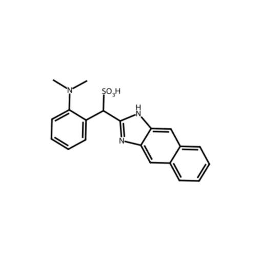 CN(C)c1ccccc1C(c1nc2cc3ccccc3cc2[nH]1)S(=O)(=O)O